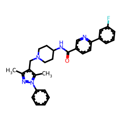 Cc1nn(-c2ccccc2)c(C)c1CN1CCC(NC(=O)c2ccc(-c3cccc(F)c3)nc2)CC1